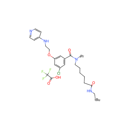 CC(C)N(CCCCCC(=O)NCC(C)(C)C)C(=O)c1cc(Cl)cc(OCCNc2ccncc2)c1.O=C(O)C(F)(F)F